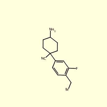 N#CC1(c2ccc(CBr)c(F)c2)CCC(N)CC1